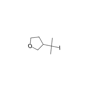 CC(C)(I)C1CCOC1